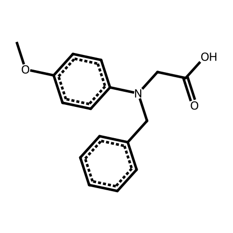 COc1ccc(N(CC(=O)O)Cc2ccccc2)cc1